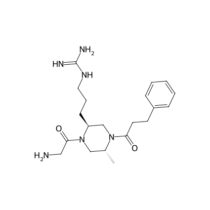 C[C@@H]1CN(C(=O)CN)[C@@H](CCCNC(=N)N)CN1C(=O)CCc1ccccc1